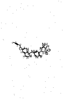 CC#CCOc1cnc2c(Nc3cnc(F)c([C@@H]4CS(=O)(=O)C(C)C(N)=N4)c3)nccc2c1